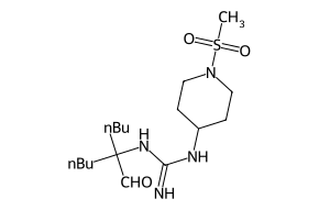 CCCCC(C=O)(CCCC)NC(=N)NC1CCN(S(C)(=O)=O)CC1